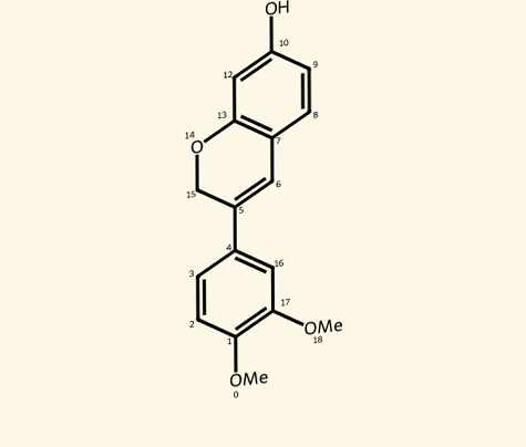 COc1ccc(C2=Cc3ccc(O)cc3OC2)cc1OC